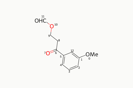 COc1cccc(C(=O)CCOC=O)c1